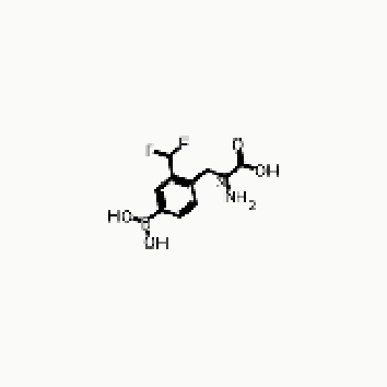 N[C@@H](Cc1ccc(B(O)O)cc1C(F)F)C(=O)O